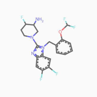 NC1CN(c2nc3cc(F)c(F)cc3n2Cc2ccccc2OC(F)F)CCC1F